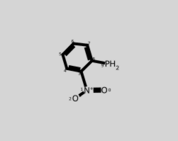 O=[N+]([O-])c1ccccc1P